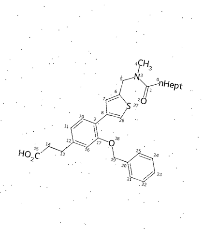 CCCCCCCC(=O)N(C)Cc1cc(-c2ccc(CCC(=O)O)cc2OCc2ccccc2)cs1